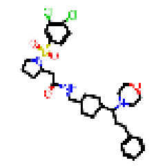 O=C(CC1CCCN1S(=O)(=O)c1ccc(Cl)c(Cl)c1)NCC1CCC(C(CCc2ccccc2)N2CCOCC2)CC1